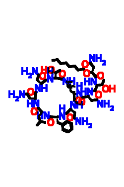 CCCCCCCC(=O)O[C@@H](CCN)C(=O)N[C@H](C(=O)N[C@@H](CCN)C(=O)N[C@H]1CCNC(=O)[C@H](C(C)O)NC(=O)[C@H](CCN)NC(=O)[C@H](CCN)NC(=O)[C@H](CC(C)C)NC(=O)[C@@H](Cc2ccccc2)NC(=O)[C@H](CCN)NC1=O)C(C)O